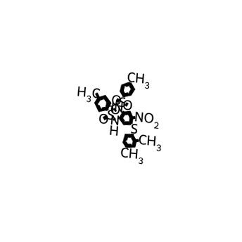 Cc1ccc(S(=O)(=O)Nc2cc(Sc3ccc(C)cc3C)c([N+](=O)[O-])cc2NS(=O)(=O)c2ccc(C)cc2)cc1